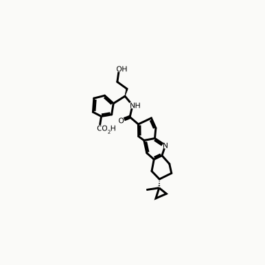 CC1([C@H]2CCc3nc4ccc(C(=O)N[C@H](CCO)c5cccc(C(=O)O)c5)cc4cc3C2)CC1